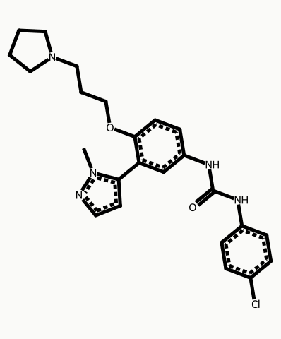 Cn1nccc1-c1cc(NC(=O)Nc2ccc(Cl)cc2)ccc1OCCCN1CCCC1